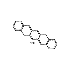 C1=c2cc3c(cc2Cc2ccccc21)=Cc1ccccc1C3.[NaH]